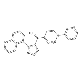 C=C(C(=O)/C=C\N(N)c1cccnc1)c1ccnn1-c1cccc2ncccc12